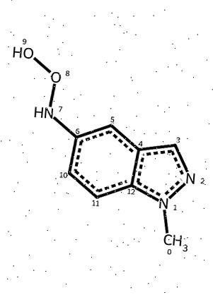 Cn1ncc2cc(NOO)ccc21